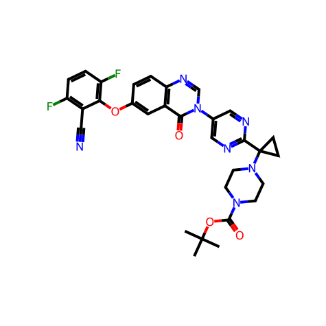 CC(C)(C)OC(=O)N1CCN(C2(c3ncc(-n4cnc5ccc(Oc6c(F)ccc(F)c6C#N)cc5c4=O)cn3)CC2)CC1